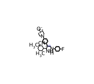 CC1CCC(C)(C)CC1C(=N)/C(=C\Nc1ccc(F)cc1)c1ccc(N2CC[S+]([O-])CC2)cc1